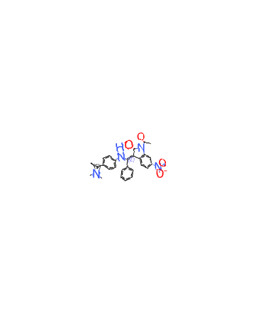 CC(=O)N1C(=O)/C(=C(\Nc2ccc([C@H](C)N(C)C)cc2)c2ccccc2)c2ccc([N+](=O)[O-])cc21